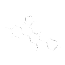 CN1CCN(c2cc(=O)n(-c3ccccc3)nc2-c2nc[nH]n2)CC1